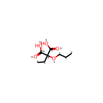 CCCOC(CC)(C(=O)O)C(=O)O